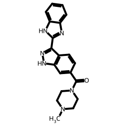 CN1CCN(C(=O)c2ccc3c(-c4nc5ccccc5[nH]4)n[nH]c3c2)CC1